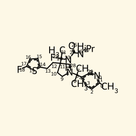 Cc1ccc(C(C)(C)N2CCC(CCc3ccc(F)s3)(C(C)(F)NC(=O)NC(C)C)C2)cn1